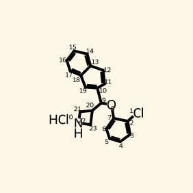 Cl.Clc1ccccc1OC(c1ccc2ccccc2c1)C1CNC1